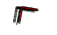 CCOC(C)=O.O.O.O.O.O.O.O.O.O.O.O.O.O.O.O.O.O.O.O.O.O.O.O.O.O.O.O.O.O.O.O.O.O.O.O.O.O.O.O.O.O.O.O.O.O.O.O.O.O.O.O.O.O.O.O.O.O.O.O.O.O.O.O.O.O.O.O.O.O.O.O.O.O.O.O.O.O.O.O.O